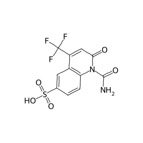 NC(=O)n1c(=O)cc(C(F)(F)F)c2cc(S(=O)(=O)O)ccc21